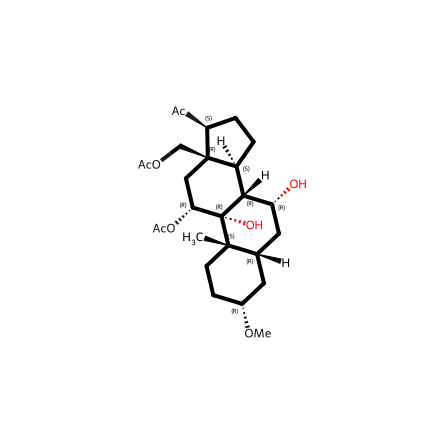 CO[C@@H]1CC[C@@]2(C)[C@@H](C1)C[C@@H](O)[C@H]1[C@@H]3CC[C@H](C(C)=O)[C@@]3(COC(C)=O)C[C@@H](OC(C)=O)[C@@]12O